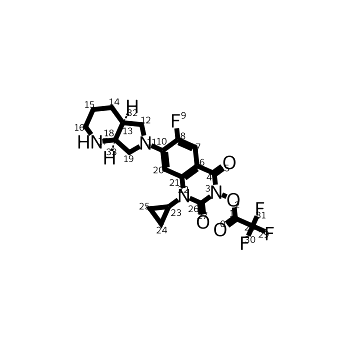 O=C(On1c(=O)c2cc(F)c(N3C[C@@H]4CCCN[C@@H]4C3)cc2n(C2CC2)c1=O)C(F)(F)F